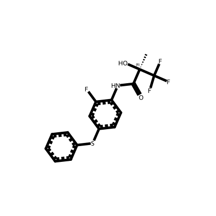 C[C@@](O)(C(=O)Nc1ccc(Sc2ccccc2)cc1F)C(F)(F)F